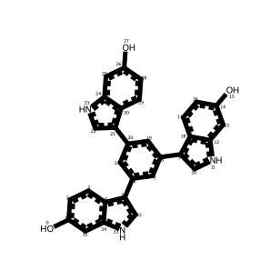 Oc1ccc2c(-c3cc(-c4c[nH]c5cc(O)ccc45)cc(-c4c[nH]c5cc(O)ccc45)c3)c[nH]c2c1